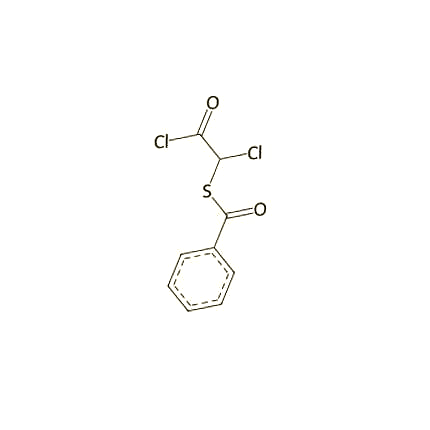 O=C(SC(Cl)C(=O)Cl)c1ccccc1